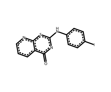 O=c1nc(Nc2ccc(I)cc2)sc2ncccc12